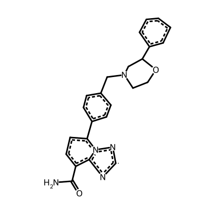 NC(=O)c1ccc(-c2ccc(CN3CCOC(c4ccccc4)C3)cc2)n2n[c]nc12